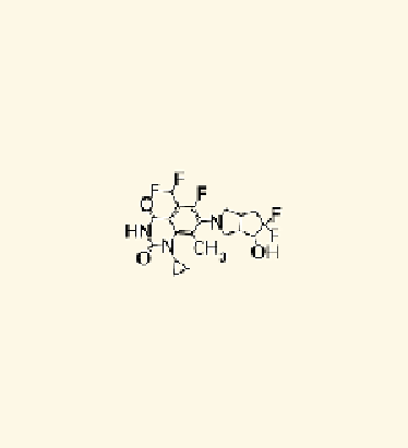 Cc1c(N2CC3CC(F)(F)C(O)C3C2)c(F)c(C(F)F)c2c(=O)[nH]c(=O)n(C3CC3)c12